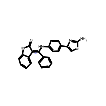 Nc1nc(-c2ccc(N/C(=C3\C(=O)Nc4ccccc43)c3ccccc3)cc2)cs1